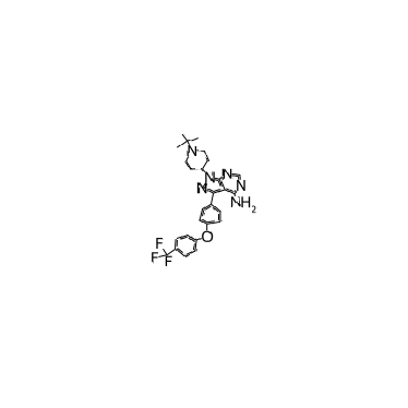 CC(C)(C)N1CCC(n2nc(-c3ccc(Oc4ccc(C(F)(F)F)cc4)cc3)c3c(N)ncnc32)CC1